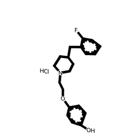 Cl.Oc1ccc(OCCN2CCC(Cc3ccccc3F)CC2)cc1